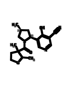 CC1OCCC1(C)C(=O)N1C[C@H](C)C[C@H]1c1cncc(C#N)c1O